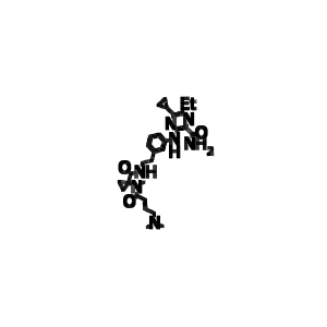 CCc1nc(C(N)=O)c(Nc2cccc(CCNC(=O)C3(N(C)C(=O)C=CCN(C)C)CC3)c2)nc1C1CC1